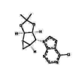 CC1(C)O[C@H]2[C@H](n3ccc4c(Cl)ncnc43)[C@H]3C[C]3[C@H]2O1